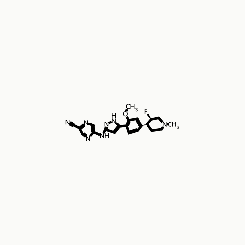 COc1cc([C@H]2CCN(C)C[C@@H]2F)ccc1-c1cc(Nc2cnc(C#N)cn2)n[nH]1